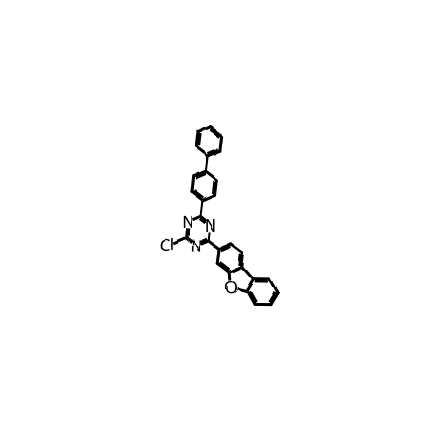 Clc1nc(-c2ccc(-c3ccccc3)cc2)nc(-c2ccc3c(c2)oc2ccccc23)n1